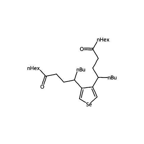 CCCCCCC(=O)CCC(CCCC)c1c[se]cc1C(CCCC)CCC(=O)CCCCCC